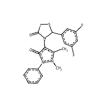 Cc1c(N2C(=O)CSC2c2cc(F)cc(F)c2)c(=O)n(-c2ccccc2)n1C